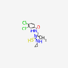 C=C(CNC(=O)c1ccc(Cl)c(Cl)c1)/N=C(/S)NC1CC1